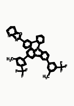 Cc1cc(-c2ccc3c(c2)c2cc(-c4cc(C)cc(C(F)(F)F)c4)ccc2n3-c2ccccc2-c2cccc(-c3nc4ncccc4o3)c2)cc(C(F)(F)F)c1